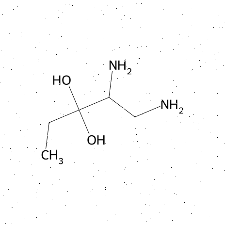 CCC(O)(O)C(N)CN